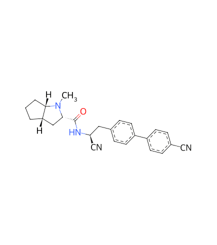 CN1[C@H](C(=O)N[C@H](C#N)Cc2ccc(-c3ccc(C#N)cc3)cc2)C[C@@H]2CCC[C@@H]21